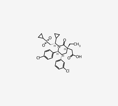 CC[C@@]1(CC(=O)O)C[C@H](c2cccc(Cl)c2)[C@@H](c2ccc(Cl)cc2)N([C@H](CS(=O)(=O)C2CC2)C2CC2)C1=O